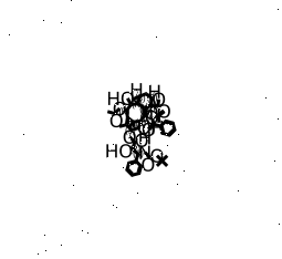 CC(=O)O[C@@H]1C2=C(C)[C@@H](OC(=O)[C@H](O)[C@@H](NC(=O)OC(C)(C)C)c3ccccc3)C[C@@](O)([C@@H](OC(=O)c3ccccc3)[C@@H]3[C@]4(OC(C)=O)CO[C@@H]4C[C@@H]4C[C@@]43C1O)C2(C)C